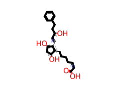 O=C(O)/C=C\CCCC[C@@H]1[C@@H](/C=C/[C@@H](O)CCc2ccccc2)[C@H](O)C[C@@H]1O